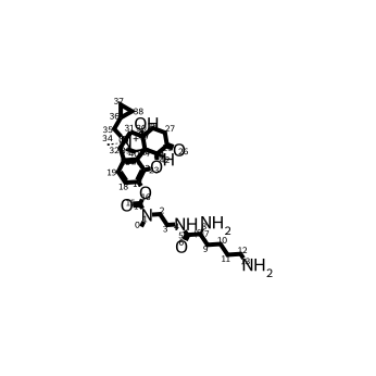 CN(CCNC(=O)[C@@H](N)CCCCN)C(=O)Oc1ccc2c3c1O[C@H]1C(=O)CC[C@@]4(O)C(C2)[N@+](C)(CC2CC2)CC[C@]314